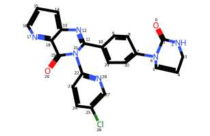 O=C1NCC=CN1c1ccc(-c2nc3cccnc3c(=O)n2-c2ccc(Cl)cn2)cc1